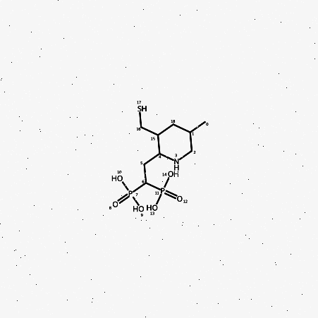 CC1CNC(CC(P(=O)(O)O)P(=O)(O)O)C(CS)C1